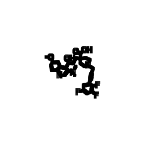 COc1ccc2ncc(N(C)C)c([C@@H](O)CCC3(C(=O)O)CCN(CC#Cc4cc(F)cc(F)c4F)CC3)c2c1